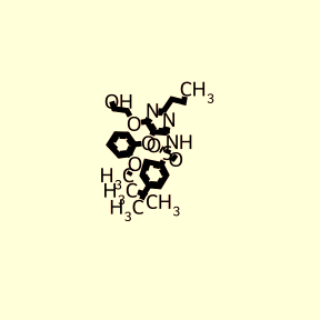 CCCc1nc(NS(=O)(=O)c2ccc(C(C)(C)C)cc2)c(Oc2ccccc2OC)c(OCCO)n1